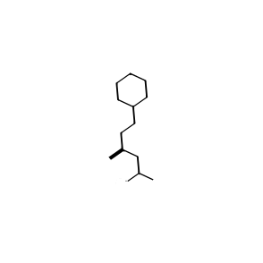 C=C(CCC1CCCCC1)CC(C)Cl